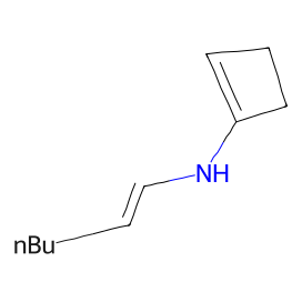 CCCCC=CNC1=CCC1